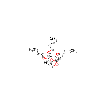 CCCCOC1[C@@H]2OC[C@@H](O2)C(OCCCC)[C@@H]1OCCCC